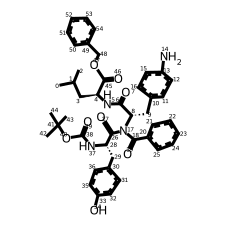 CC(C)C[C@H](NC(=O)[C@H](Cc1ccc(N)cc1)N(C(=O)c1ccccc1)C(=O)[C@H](Cc1ccc(O)cc1)NC(=O)OC(C)(C)C)C(=O)OCc1ccccc1